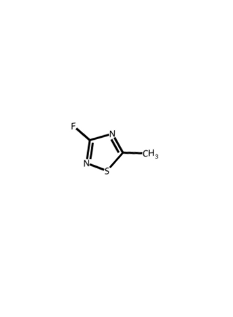 Cc1nc(F)ns1